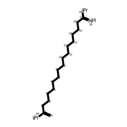 C=C(CCCCCCCCCCCCCCCC(=N)C(C)C)C(C)C